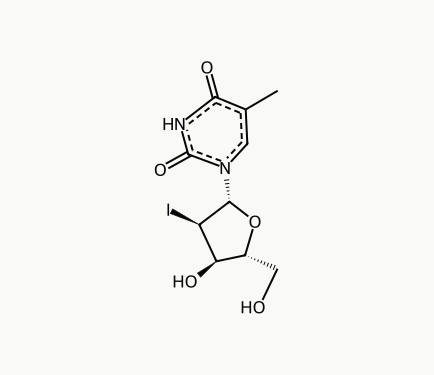 Cc1cn([C@@H]2O[C@H](CO)[C@@H](O)[C@H]2I)c(=O)[nH]c1=O